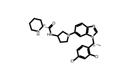 C[C@H](c1ccc(Cl)cc1Cl)n1cnc2ccc(N3CCC(NC(=O)[C@H]4CCCCN4)C3)cc21